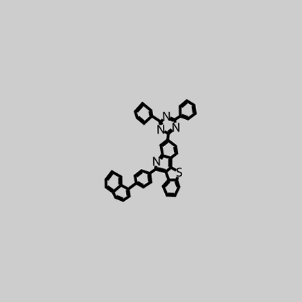 c1ccc(-c2nc(-c3ccccc3)nc(-c3ccc4c(c3)nc(-c3ccc(-c5cccc6ccccc56)cc3)c3c5ccccc5sc43)n2)cc1